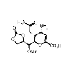 COC([C@H]1COC(=O)O1)[C@@H]1OC(C(=O)O)=C[C@@H](N)[C@H]1CC(N)=O